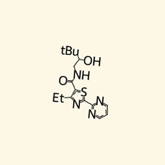 CCc1nc(-c2ncccn2)sc1C(=O)NCC(O)C(C)(C)C